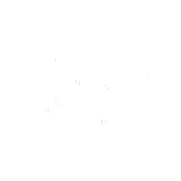 CC(C)(C)c1ccc(N2c3ccc(C(C)(C)C)cc3B3c4ccc5c(c4N(c4ccc(C(C)(C)C)cc4)c4cccc2c43)c2ccc3c(c2n5C(C)(C)C)CCC3)cc1